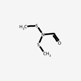 CSN([C]=O)SC